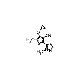 Cc1sc(-c2ccnn2C)c(C#N)c1OC1CC1